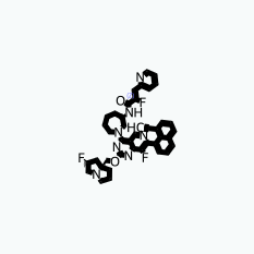 C#Cc1cccc2cccc(-c3ncc4c(N5CCCC[C@@H](NC(=O)/C(F)=C/c6ccccn6)C5)nc(OC[C@@]56CCCN5C[C@H](F)C6)nc4c3F)c12